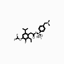 CCc1c(F)c(OC(F)F)cc(C(C)C)c1CC(=O)N=S(N)(=O)c1ccc(CN(C)C)cc1